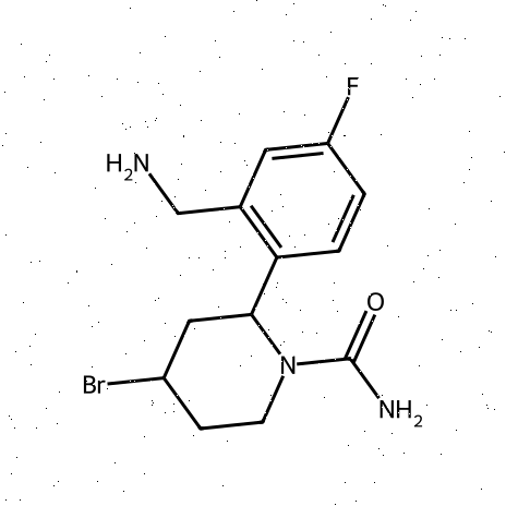 NCc1cc(F)ccc1C1CC(Br)CCN1C(N)=O